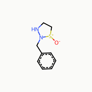 [O-][S+]1CCNN1Cc1ccccc1